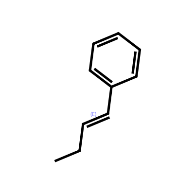 CC/C=C/c1ccccc1